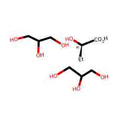 CC[C@@H](O)C(=O)O.OCC(O)CO.OCC(O)CO